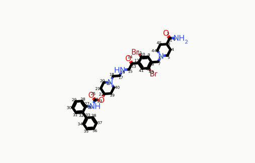 NC(=O)C1CCN(Cc2cc(Br)c(C(=O)CNCCN3CCC(OC(=O)Nc4ccccc4-c4ccccc4)CC3)cc2Br)CC1